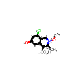 CCCOn1cc2c(Cl)cc(=O)cc-2c(C(=O)O)c1C